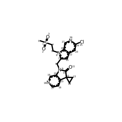 CS(=O)(=O)CCn1c(CN2C(=O)C3(CC3)c3ccncc32)cc2cc(Cl)ncc21